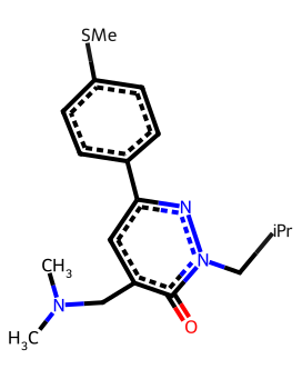 CSc1ccc(-c2cc(CN(C)C)c(=O)n(CC(C)C)n2)cc1